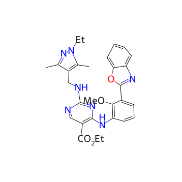 CCOC(=O)c1cnc(NCc2c(C)nn(CC)c2C)nc1Nc1cccc(-c2nc3ccccc3o2)c1OC